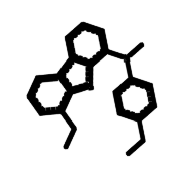 CCc1ccc(N(C)c2cccc3c2sc2c(CC)cccc23)cc1